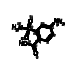 Nc1ccc(C(=O)O)c(S(N)(=O)=O)c1